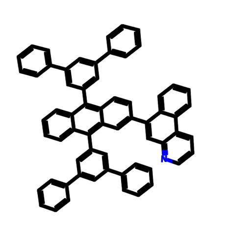 c1ccc(-c2cc(-c3ccccc3)cc(-c3c4ccccc4c(-c4cc(-c5ccccc5)cc(-c5ccccc5)c4)c4cc(-c5cc6ncccc6c6ccccc56)ccc34)c2)cc1